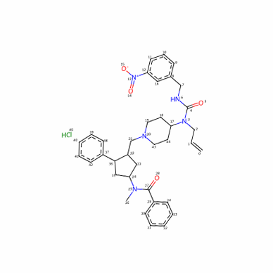 C=CCN(C(=O)NCc1cccc([N+](=O)[O-])c1)C1CCN(CC2CC(N(C)C(=O)c3ccccc3)CC2c2ccccc2)CC1.Cl